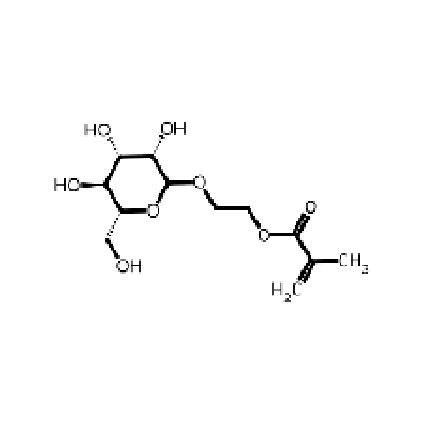 C=C(C)C(=O)OCCOC1O[C@H](CO)[C@@H](O)[C@H](O)[C@@H]1O